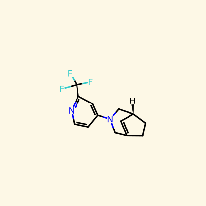 FC(F)(F)c1cc(N2CC3=C[C@@H](CC3)C2)ccn1